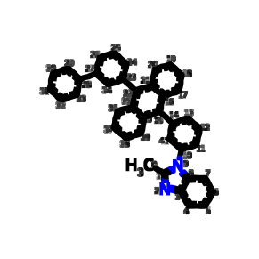 Cc1nc2ccccc2n1-c1cccc(-c2c3ccccc3c(-c3cccc(-c4ccccc4)c3)c3ccccc23)c1